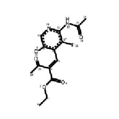 CCOC(=O)C(=Cc1c(Cl)cnc(NC(C)=O)c1F)C(C)=O